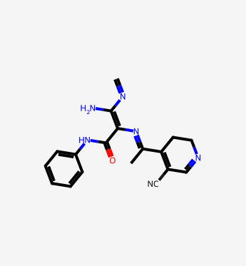 C=N/C(N)=C(\N=C(/C)C1=C(C#N)C=NCC1)C(=O)Nc1ccccc1